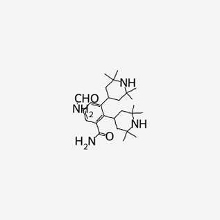 CC1(C)CC(c2cccc(C(N)=O)c2C2CC(C)(C)NC(C)(C)C2)CC(C)(C)N1.NC=O